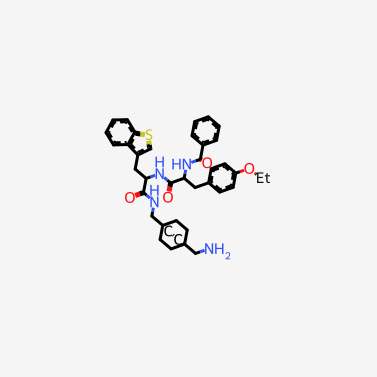 CCOc1ccc(CC(NC(=O)c2ccccc2)C(=O)NC(Cc2csc3ccccc23)C(=O)NCC23CCC(CN)(CC2)CC3)cc1